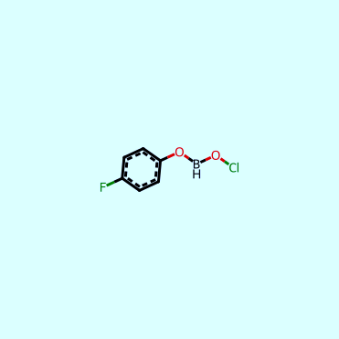 Fc1ccc(OBOCl)cc1